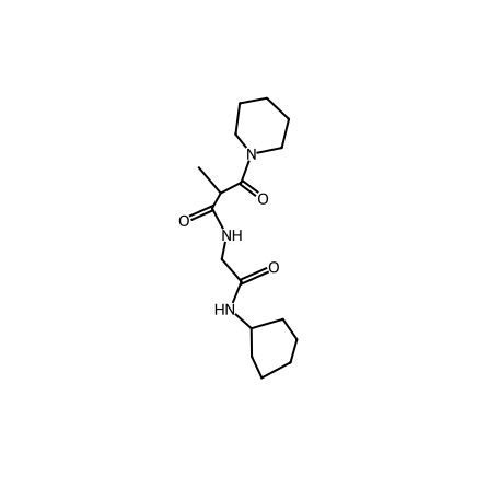 CC(C(=O)NCC(=O)NC1CCCCC1)C(=O)N1CCCCC1